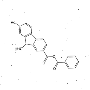 CC(=O)c1ccc2c(c1)C(C=O)c1cc(C(=O)OC(=O)c3ccccc3)ccc1-2